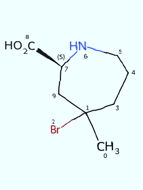 CC1(Br)CCCN[C@H](C(=O)O)C1